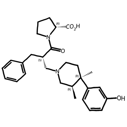 C[C@H]1CN(C[C@H](Cc2ccccc2)C(=O)N2CCC[C@@H]2C(=O)O)CC[C@@]1(C)c1cccc(O)c1